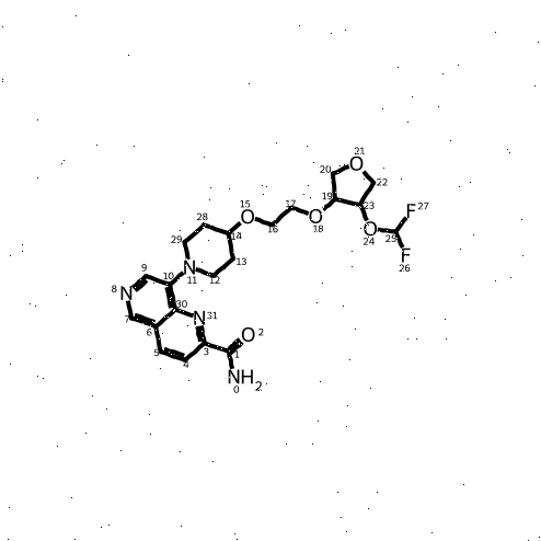 NC(=O)c1ccc2cncc(N3CCC(OCCOC4COCC4OC(F)F)CC3)c2n1